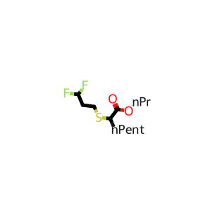 CCCCCC(SCCC(F)F)C(=O)OCCC